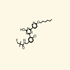 CCCCCCOc1ccc(-c2nc(O)nc(-c3cc(CNC(=O)C(C)(C)CF)ccc3Cl)n2)cn1